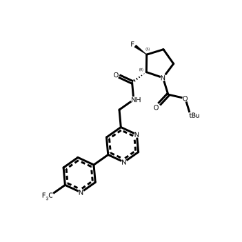 CC(C)(C)OC(=O)N1CC[C@H](F)[C@H]1C(=O)NCc1cc(-c2ccc(C(F)(F)F)nc2)ncn1